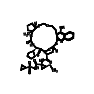 CC[C@@H]1C[C@]1(NC(=O)[C@@H]1C[C@@H]2CN1C(=O)[C@H](C1CCCC1)NC(=O)O[C@@]1(C)CCC[C@@H]1CCCCCc1c(nc3ccccc3c1O)O2)C(=O)NS(=O)(=O)C1CC1